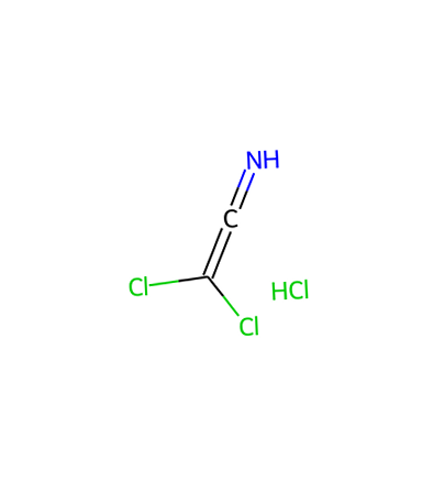 Cl.N=C=C(Cl)Cl